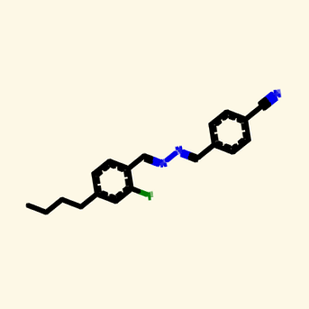 CCCCc1ccc(C=NN=Cc2ccc(C#N)cc2)c(F)c1